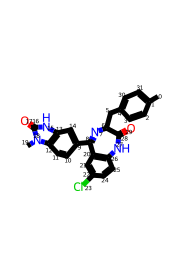 Cc1ccc(CC2N=C(c3ccc4c(c3)[nH]c(=O)n4C)c3cc(Cl)ccc3NC2=O)cc1